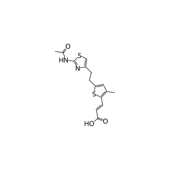 CC(=O)Nc1nc(CCc2cc(C)c(/C=C/C(=O)O)s2)cs1